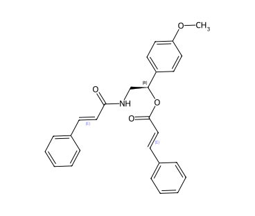 COc1ccc([C@H](CNC(=O)/C=C/c2ccccc2)OC(=O)/C=C/c2ccccc2)cc1